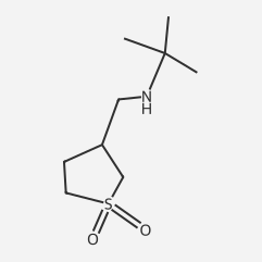 CC(C)(C)NCC1CCS(=O)(=O)C1